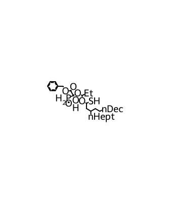 CCCCCCCCCCCCC(CCCCCCC)CC(S)OC(CC)OC(O)([PH2]=O)C(=O)OCc1ccccc1